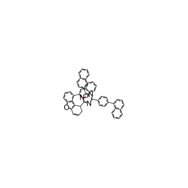 C1=Cc2oc3cccc(-c4ccc5ccccc5c4)c3c2C(c2nc(-c3ccc(-c4cccc5ccccc45)cc3)nc(-c3ccc4ccccc4c3)n2)C1